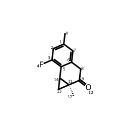 Cc1cc(F)c2c(c1)CC(=O)[C@@]1(C)CC21